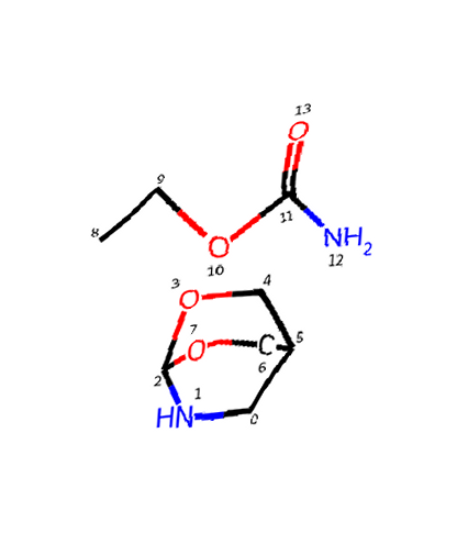 C1NC2OCC1CO2.CCOC(N)=O